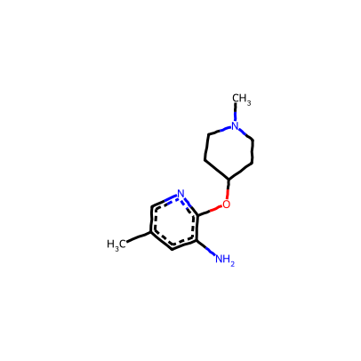 Cc1cnc(OC2CCN(C)CC2)c(N)c1